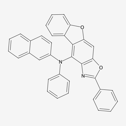 c1ccc(-c2nc3c(N(c4ccccc4)c4ccc5ccccc5c4)c4c(cc3o2)oc2ccccc24)cc1